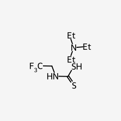 CCN(CC)CC.FC(F)(F)CNC(=S)S